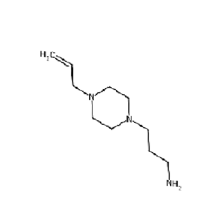 C=CCN1CCN(CCCN)CC1